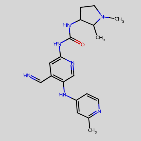 Cc1cc(Nc2cnc(NC(=O)NC3CCN(C)C3C)cc2C=N)ccn1